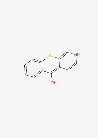 OC1=C2C=CNC=C2Sc2ccccc21